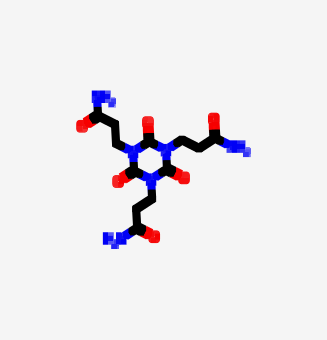 NC(=O)CCn1c(=O)n(CCC(N)=O)c(=O)n(CCC(N)=O)c1=O